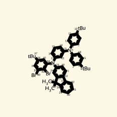 CC(C)(C)c1ccc(N(c2ccc(C(C)(C)C)cc2)c2cccc(N(c3ccc4c(c3)C(C)(C)c3ccccc3-4)c3cc(C(C)(C)C)cc(Br)c3Br)c2)cc1